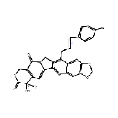 CC[C@@]1(O)C(=O)OCc2c1cc1n(c2=O)Cc2c-1nc1cc3c(cc1c2C/C=C/c1ccc(Br)cc1)OCO3